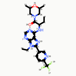 CCC(Nc1ncnc2c1nc(-c1ccc(C(F)(F)F)nc1)n2CC)C(=O)N1CC(C)OC(C)C1